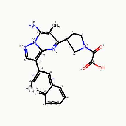 Bc1c(C2CCN(C(=O)C(=O)O)C2)nc2c(C(/C=c3/ccccc3=C)=C/C)cnn2c1N